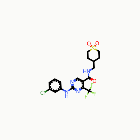 O=C(NCC1CCS(=O)(=O)CC1)c1cnc(Nc2cccc(Cl)c2)nc1C(F)(F)F